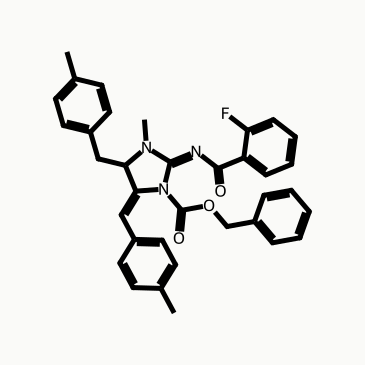 Cc1ccc(/C=C2/C(Cc3ccc(C)cc3)N(C)/C(=N/C(=O)c3ccccc3F)N2C(=O)OCc2ccccc2)cc1